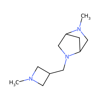 CN1CC(CN2CC3CC2CN3C)C1